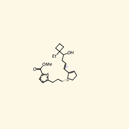 CCC1(C(O)C/C=C/C2=CCC[C@@H]2CCCc2ccc(C(=O)OC)s2)CCC1